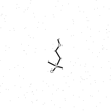 COCC[Si](C)(C)Cl